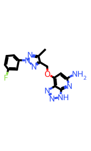 Cc1nn(-c2cccc(F)c2)nc1COc1cc(N)nc2[nH]nnc12